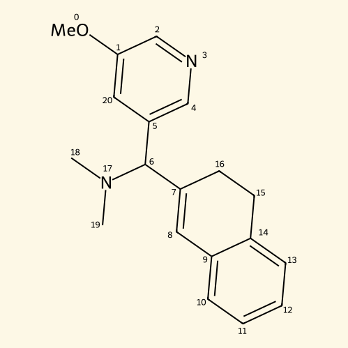 COc1cncc(C(C2=Cc3ccccc3CC2)N(C)C)c1